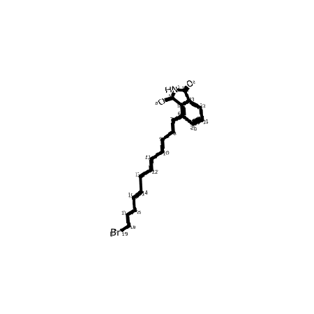 O=C1NC(=O)c2c(CCCCCCCCCCCCBr)cccc21